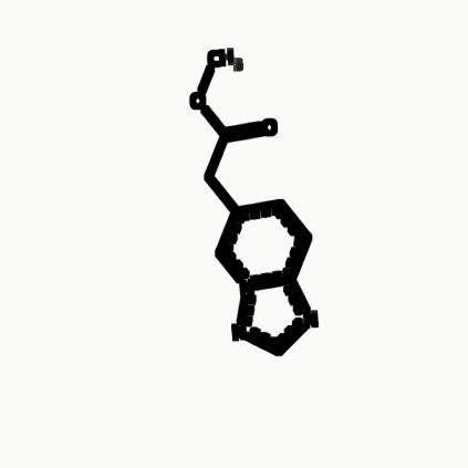 COC(=O)Cc1ccc2ncnn2c1